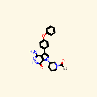 CCC(=O)N1CCC[C@@H](n2cc(-c3ccc(Oc4ccccc4)cc3)c3c(N)n[nH]c(=O)c32)C1